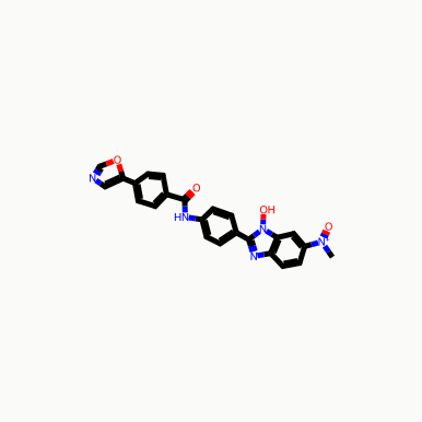 C[N+](=O)c1ccc2nc(-c3ccc(NC(=O)c4ccc(-c5cnco5)cc4)cc3)n(O)c2c1